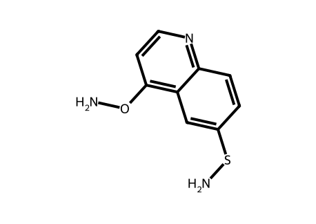 NOc1ccnc2ccc(SN)cc12